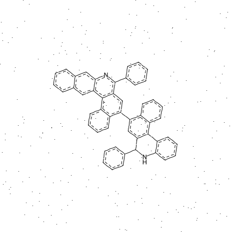 c1ccc(-c2nc3cc4ccccc4cc3c3c2cc(-c2cc4c(c5ccccc25)-c2ccccc2NC4c2ccccc2)c2ccccc23)cc1